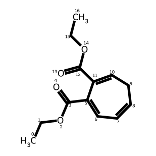 CCOC(=O)C1=CC=CCC=C1C(=O)OCC